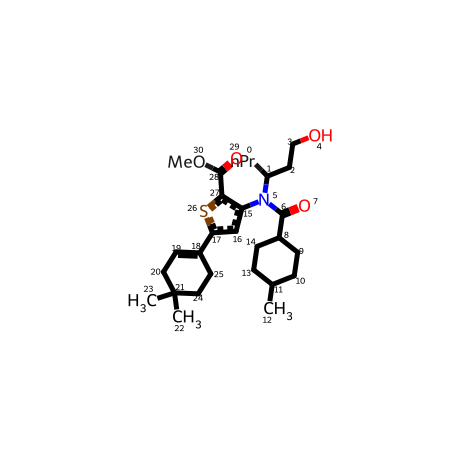 CCCC(CCO)N(C(=O)C1CCC(C)CC1)c1cc(C2=CCC(C)(C)CC2)sc1C(=O)OC